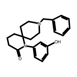 O=C1CCCC2(CCN(Cc3ccccc3)CC2)N1c1cccc(O)c1